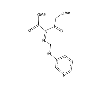 COCC(=O)/C(=N\CNc1cccnc1)C(=O)OC